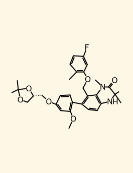 COc1cc(OC[C@@H]2COC(C)(C)O2)ccc1-c1ccc2c(c1COc1cc(F)ccc1C)N(C)C(=O)C(C)(C)N2